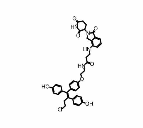 O=C(CCNc1cccc2c1CN(C1CCC(=O)NC1=O)C2=O)NCCOc1ccc(C(=C(CCCl)c2ccc(O)cc2)c2ccc(O)cc2)cc1